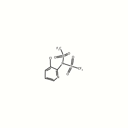 O=S(=O)(N(c1ncccc1Cl)S(=O)(=O)C(F)(F)F)C(F)(F)F